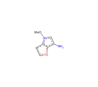 COn1cc(N)c2occc21